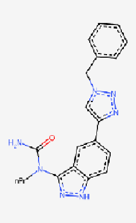 CCCN(C(N)=O)c1n[nH]c2ccc(-c3cn(Cc4ccccc4)nn3)cc12